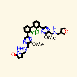 COc1nc(-c2cccc(-c3cccc(-c4cnc(CNCC5CCC(=O)N5)c(OC)n4)c3Cl)c2Cl)cnc1CNCC1CCOC1